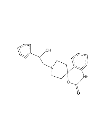 O=C1Nc2ccccc2C2(CCN(CC(O)c3ccccc3)CC2)O1